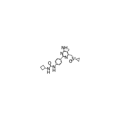 Nc1cc(C[S+]([O-])C2CC2)nc(-c2ccc(NC(=O)NC3CCC3)cc2)n1